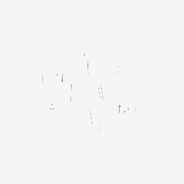 CC(=O)c1c(N)c(Cl)c(C(C)=O)c([N+](=O)[O-])c1O